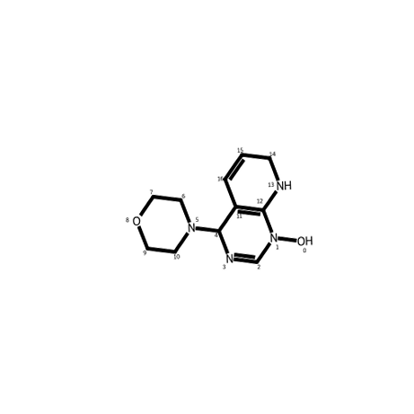 ON1C=NC(N2CCOCC2)C2=C1NCC=C2